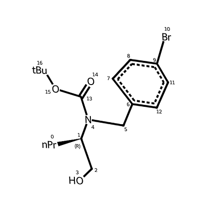 CCC[C@H](CO)N(Cc1ccc(Br)cc1)C(=O)OC(C)(C)C